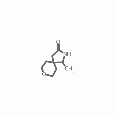 CC1NC(=O)CC12CCOCC2